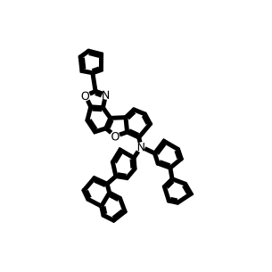 c1ccc(-c2cccc(N(c3ccc(-c4cccc5ccccc45)cc3)c3cccc4c3oc3ccc5oc(-c6ccccc6)nc5c34)c2)cc1